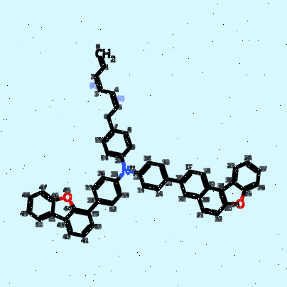 C=C/C=C\C=C/Cc1ccc(N(c2ccc(-c3ccc4c(ccc5oc6ccccc6c54)c3)cc2)c2ccc(-c3cccc4c3oc3ccccc34)cc2)cc1